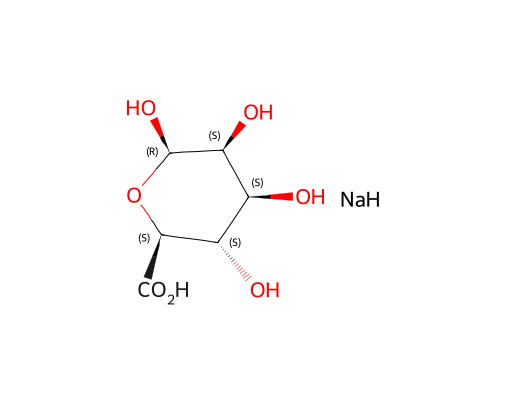 O=C(O)[C@H]1O[C@@H](O)[C@@H](O)[C@@H](O)[C@@H]1O.[NaH]